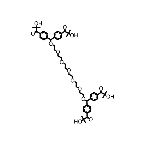 CC(C)(O)C(=O)c1ccc(C(OCCOCCOCCOCCOCCOCCOC(c2ccc(C(=O)C(C)(C)O)cc2)c2ccc(C(=O)C(C)(C)O)cc2)c2ccc(C(=O)C(C)(C)O)cc2)cc1